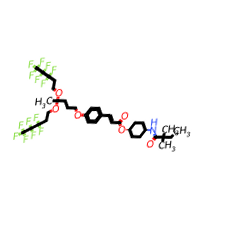 CCC(C)(C)C(=O)N[C@H]1CC[C@H](OC(=O)/C=C/c2ccc(OCCCC(C)(OCCC(F)(F)C(F)(F)C(F)(F)F)OCCC(F)(F)C(F)(F)C(F)(F)F)cc2)CC1